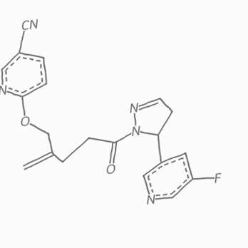 C=C(CCC(=O)N1N=CCC1c1cncc(F)c1)COc1ccc(C#N)cn1